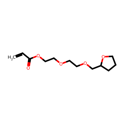 C=CC(=O)OCCOCCOCC1CCCO1